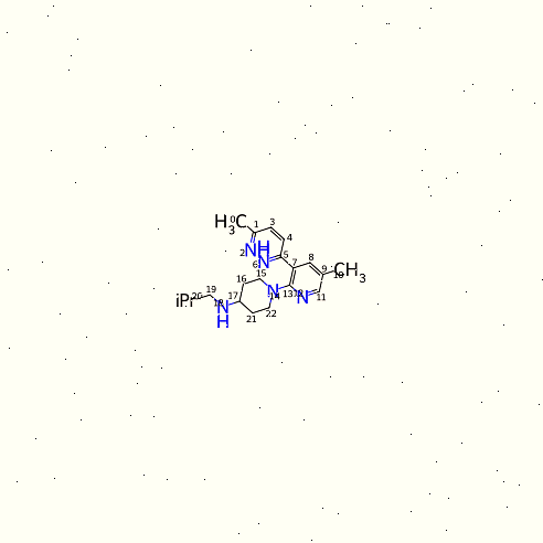 CC(=N)/C=C\C(=N)c1cc(C)cnc1N1CCC(NCC(C)C)CC1